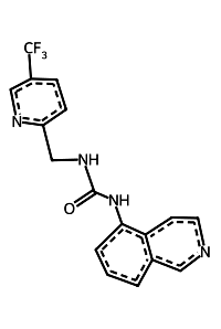 O=C(NCc1ccc(C(F)(F)F)cn1)Nc1cccc2cnccc12